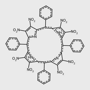 O=[N+]([O-])C1=C([N+](=O)[O-])c2nc1c(-c1ccccc1)c1[nH]c(c(-c3ccccc3)c3nc(c(-c4ccccc4)c4[nH]c(c2-c2ccccc2)c([N+](=O)[O-])c4[N+](=O)[O-])C([N+](=O)[O-])=C3[N+](=O)[O-])c([N+](=O)[O-])c1[N+](=O)[O-]